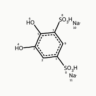 O=S(=O)(O)c1cc(O)c(O)c(S(=O)(=O)O)c1.[Na].[Na]